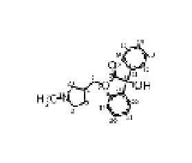 CN1CCC(COC(=O)C(O)(c2ccccc2)c2ccccc2)C1